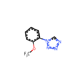 FC(F)(F)Oc1ccccc1-n1cnnn1